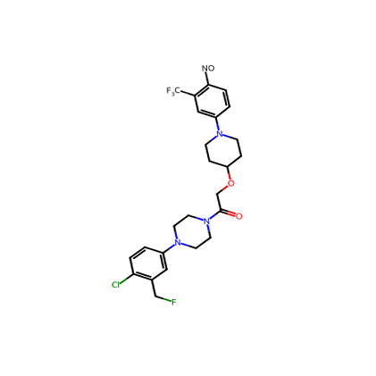 O=Nc1ccc(N2CCC(OCC(=O)N3CCN(c4ccc(Cl)c(CF)c4)CC3)CC2)cc1C(F)(F)F